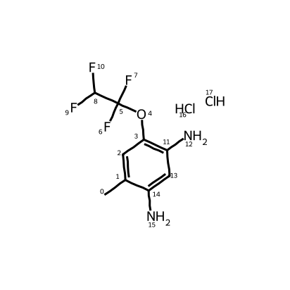 Cc1cc(OC(F)(F)C(F)F)c(N)cc1N.Cl.Cl